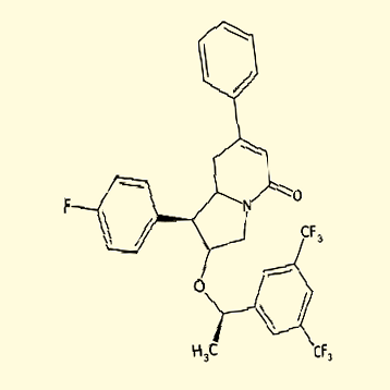 C[C@@H](OC1CN2C(=O)C=C(c3ccccc3)CC2[C@@H]1c1ccc(F)cc1)c1cc(C(F)(F)F)cc(C(F)(F)F)c1